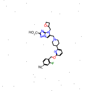 N#Cc1ccc(COc2cccc(C3CCN(Cc4cn5nc(C(=O)O)nc5n4CC4CCO4)CC3)n2)c(F)c1